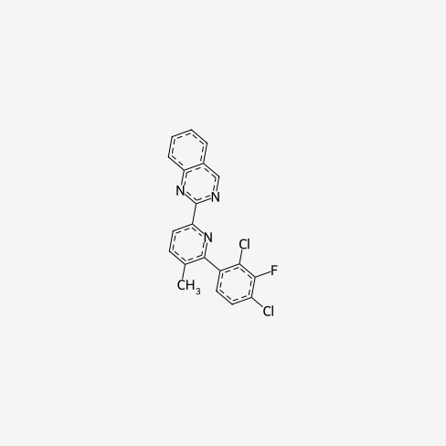 Cc1ccc(-c2ncc3ccccc3n2)nc1-c1ccc(Cl)c(F)c1Cl